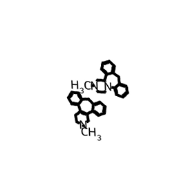 CN1CCC2=C(C1)c1ccccc1Cc1ccccc12.CN1CCN2c3ccccc3Cc3ccccc3C2C1